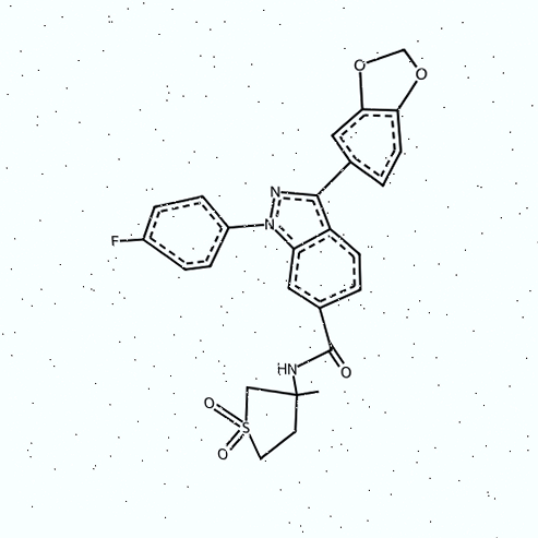 CC1(NC(=O)c2ccc3c(-c4ccc5c(c4)OCO5)nn(-c4ccc(F)cc4)c3c2)CCS(=O)(=O)C1